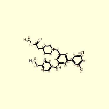 COC(=O)CC1CCN(Cc2cc(Nc3cnc(SC)nc3)nc(-c3cc(Cl)cc(Cl)c3)c2)CC1